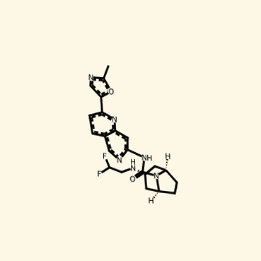 Cc1ncc(-c2ccc3cnc(NC(=O)N4[C@@H]5CC[C@H]4C[C@H](NCC(F)F)C5)cc3n2)o1